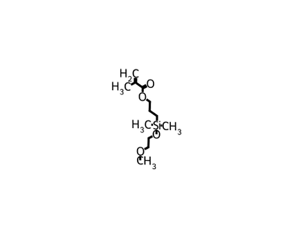 C=C(C)C(=O)OCCC[Si](C)(C)OCCOC